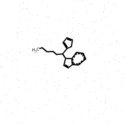 CCCCCC(C1=CC=CC1)C1C=Cc2ccccc21